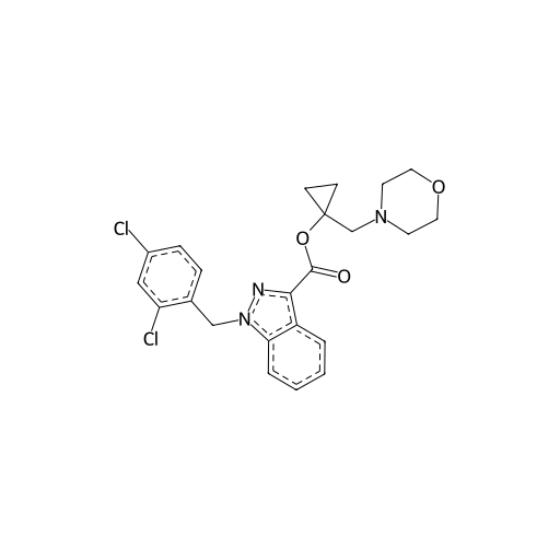 O=C(OC1(CN2CCOCC2)CC1)c1nn(Cc2ccc(Cl)cc2Cl)c2ccccc12